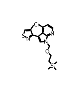 Cc1csnc1-c1cn(COCC[Si](C)(C)C)c2nccc(Cl)c12